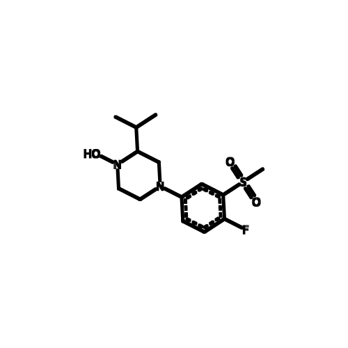 CC(C)C1CN(c2ccc(F)c(S(C)(=O)=O)c2)CCN1O